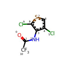 O=C(Nc1c(Cl)csc1Cl)C(F)(F)F